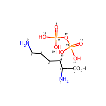 NCCCCC(N)C(=O)O.O=P(O)(O)OP(=O)(O)O